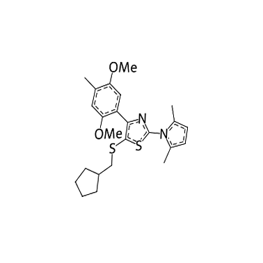 COc1cc(-c2nc(-n3c(C)ccc3C)sc2SCC2CCCC2)c(OC)cc1C